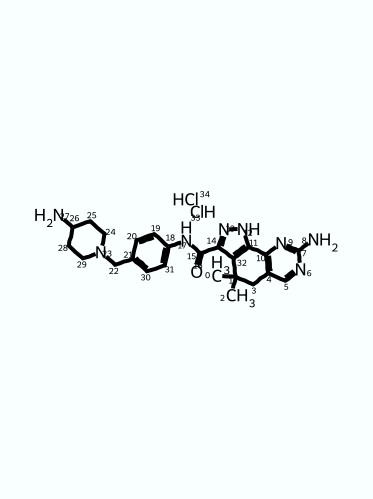 CC1(C)Cc2cnc(N)nc2-c2[nH]nc(C(=O)Nc3ccc(CN4CCC(N)CC4)cc3)c21.Cl.Cl